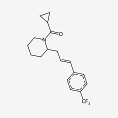 O=C(C1CC1)N1CCCCC1CC=Cc1ccc(C(F)(F)F)cc1